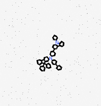 C1=CC(N(c2ccc(-c3ccccc3)cc2)C2C=C3C(=CC2)c2ccccc2C3(c2ccccc2)c2ccccc2)CC=C1C1C=Cc2c(c3ccccc3n2-c2ccccc2)C1